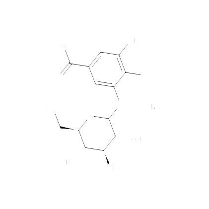 O=C([O-])c1cc(O)c(O)c(OC2O[C@H](CO)[C@@H](O)[C@H](O)[C@H]2O)c1.[Na+]